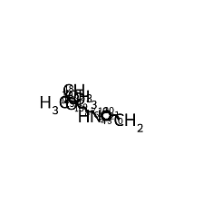 C=Cc1ccc(NCCCCC(=O)OC(C)(C)CC)cc1